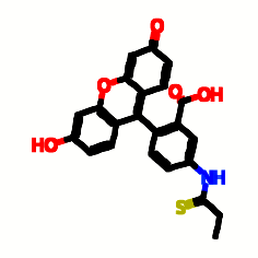 CCC(=S)Nc1ccc(-c2c3ccc(=O)cc-3oc3cc(O)ccc23)c(C(=O)O)c1